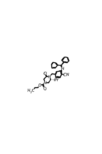 C=CCOC(=O)N1CC(=O)N(Cc2ccc(C#N)c(N=C(c3ccccc3)c3ccccc3)c2)[C@H](C(C)C)C1